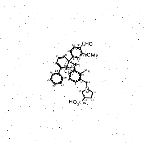 COc1nc(C2(Nc3nccc(CN4CCC(C(=O)O)C4)c3F)C=CC=C(c3ccccc3)C2(Cl)Cl)ccc1C=O